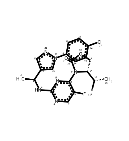 C[C@H](Nc1ncc(F)c(N2C(=O)OC[C@@H]2[C@H](C)F)n1)c1cnn(-c2ccc(Cl)cc2)c1